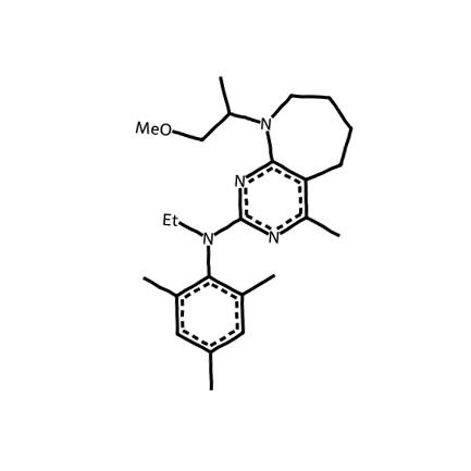 CCN(c1nc(C)c2c(n1)N(C(C)COC)CCCC2)c1c(C)cc(C)cc1C